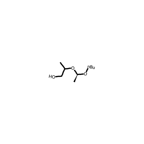 CCCCO[C@@H](C)OC(C)CO